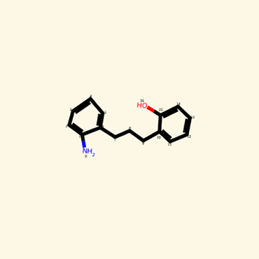 Nc1ccccc1CCCc1ccccc1O